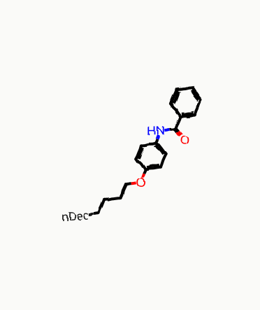 CCCCCCCCCCCCCCOc1ccc(NC(=O)c2ccccc2)cc1